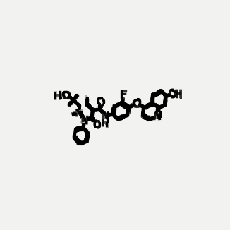 C/C=C(\C(=O)Nc1ccc(Oc2ccnc3cc(O)ccc23)c(F)c1)C(=O)N(c1ccccc1)N(C)CC(C)(C)O